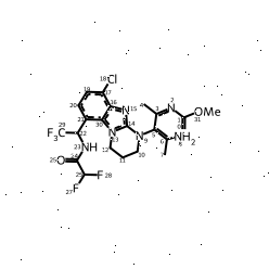 C=C(/N=C(C)\C(=C(\C)N)N1CCCn2c1nc1c(Cl)ccc(C(NC(=O)C(F)F)C(F)(F)F)c12)OC